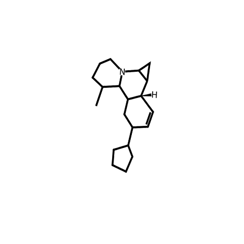 CC1CCCN2C3CC3[C@@H]3C=CC(C4CCCC4)CC3C12